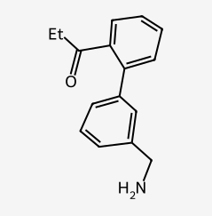 CCC(=O)c1ccccc1-c1cccc(CN)c1